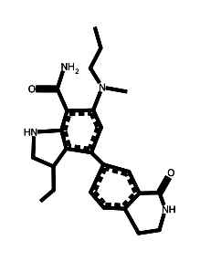 CCCN(C)c1cc(-c2ccc3c(c2)C(=O)NCC3)c2c(c1C(N)=O)NCC2CC